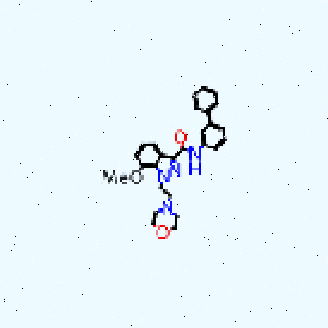 COc1cccc2c(C(=O)Nc3cccc(-c4ccccc4)c3)nn(CCN3CCOCC3)c12